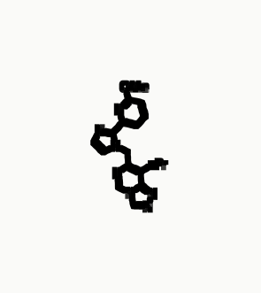 CCCc1c(Cn2ccnc2-c2cccc(OC)n2)ncn2cnnc12